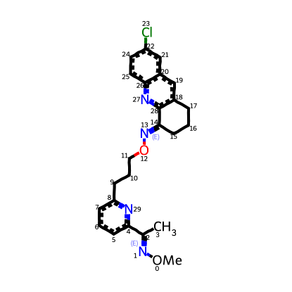 CO/N=C(\C)c1cccc(CCCO/N=C2\CCCc3cc4cc(Cl)ccc4nc32)n1